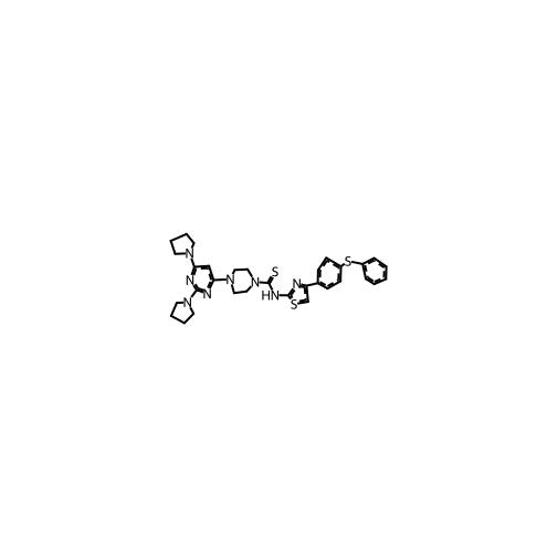 S=C(Nc1nc(-c2ccc(Sc3ccccc3)cc2)cs1)N1CCN(c2cc(N3CCCC3)nc(N3CCCC3)n2)CC1